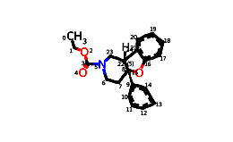 CCOC(=O)N1CC[C@@]2(c3ccccc3)Oc3ccccc3[C@H]2C1